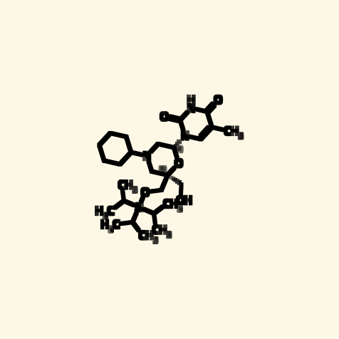 Cc1cn([C@H]2CN(C3CCCCC3)C[C@](CO)(CO[Si](C(C)C)(C(C)C)C(C)C)O2)c(=O)[nH]c1=O